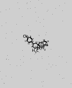 CC1(C)CCC(c2ccc(Cl)cc2)CC1(O)Cn1ccnc1